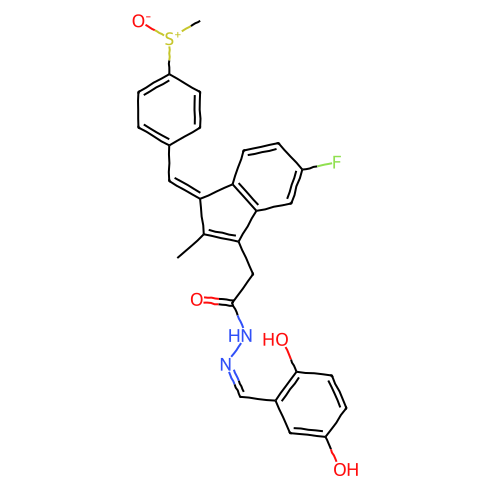 CC1=C(CC(=O)N/N=C\c2cc(O)ccc2O)c2cc(F)ccc2/C1=C\c1ccc([S+](C)[O-])cc1